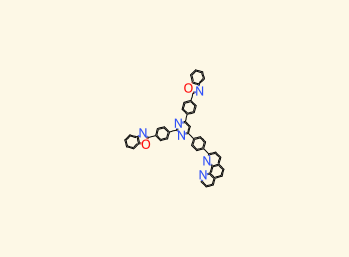 c1cnc2c(c1)ccc1ccc(-c3ccc(-c4cc(-c5ccc(-c6nc7ccccc7o6)cc5)nc(-c5ccc(-c6nc7ccccc7o6)cc5)n4)cc3)nc12